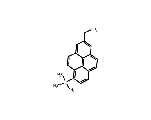 CCc1cc2ccc3ccc([Si](C)(C)C)c4ccc(c1)c2c34